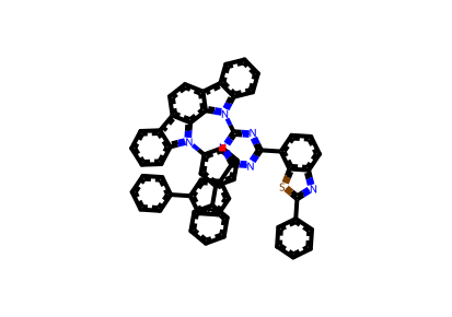 c1ccc(-c2cccc(-c3nc(-c4cccc5nc(-c6ccccc6)sc45)nc(-n4c5ccccc5c5ccc6c7ccccc7n(-c7cccc(-c8ccccc8)c7)c6c54)n3)c2)cc1